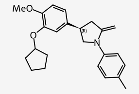 C=C1C[C@H](c2ccc(OC)c(OC3CCCC3)c2)CN1c1ccc(C)cc1